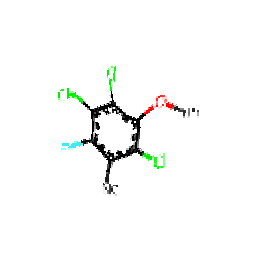 [C-]#[N+]c1c(F)c(Cl)c(Cl)c(OC(C)C)c1Cl